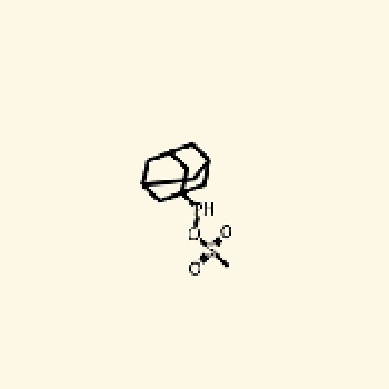 CS(=O)(=O)OPC12CC3CC(CC(C3)C1)C2